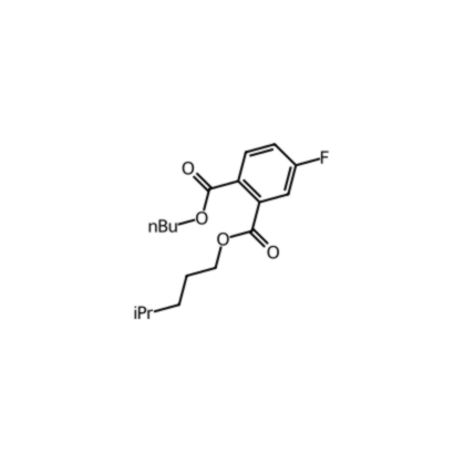 CCCCOC(=O)c1ccc(F)cc1C(=O)OCCCC(C)C